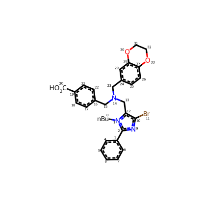 CCCCn1c(-c2ccccc2)nc(Br)c1CN(Cc1ccc(C(=O)O)cc1)Cc1ccc2c(c1)OCCO2